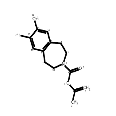 C=C(C)OC(=O)N1CCc2cc(O)c(I)cc2CC1